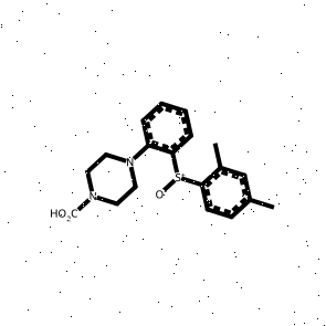 Cc1ccc([S+]([O-])c2ccccc2N2CCN(C(=O)O)CC2)c(C)c1